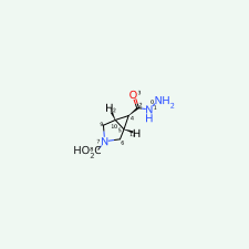 NNC(=O)[C@H]1[C@@H]2CN(C(=O)O)C[C@@H]21